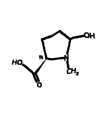 CN1C(O)CC[C@H]1C(=O)O